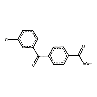 CCCCCCCCC(=O)c1ccc(C(=O)c2cccc(Cl)c2)cc1